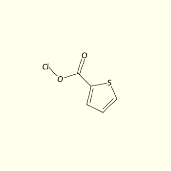 O=C(OCl)c1cccs1